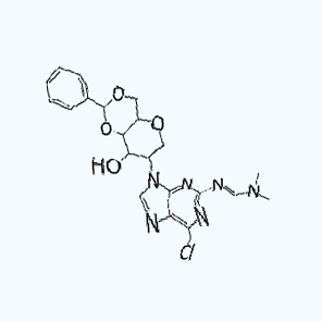 CN(C)/C=N/c1nc(Cl)c2ncn(C3COC4COC(c5ccccc5)OC4C3O)c2n1